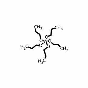 CCC[O][W]([O]CCC)([O]CCC)([O]CCC)[O]CCC